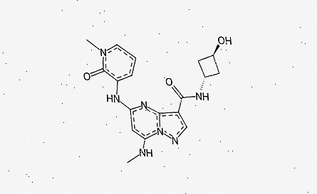 CNc1cc(Nc2cccn(C)c2=O)nc2c(C(=O)N[C@H]3C[C@H](O)C3)cnn12